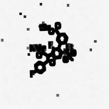 CCN(c1cc2oc(-c3ccc(F)cc3)c(C(=O)NC)c2c(F)c1-c1cccc(C(=O)OC(C)(C)C)c1)S(C)(=O)=O